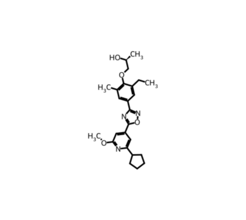 CCc1cc(-c2noc(-c3cc(OC)nc(C4CCCC4)c3)n2)cc(C)c1OC[C@H](C)O